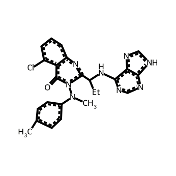 CCC(Nc1ncnc2[nH]cnc12)c1nc2cccc(Cl)c2c(=O)n1N(C)c1ccc(C)cc1